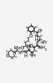 COCCCCOc1ccccc1C(=O)NC[C@@H](C[C@H](N)[C@@H](O)C[C@H](C(=O)NCCCN1CCOCC1)C(C)C)C(C)C